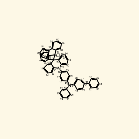 CC1(C2(c3ccccc3)c3ccccc3N(c3ccc(N(c4ccccc4)c4ccc(-c5ccccc5)cc4)cc3)c3ccccc32)c2ccccc2-c2ccccc21